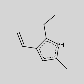 C=Cc1cc(C)[pH]c1CC